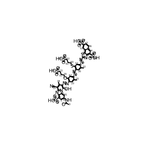 CC(=O)Nc1cc(S(=O)(=O)O)c2nc3c(C#N)c(C)c(N=Nc4cc(C)c(N=Nc5cc(C)c(N=Nc6nc7c(S(=O)(=O)O)cc8ccc(S(=O)(=O)O)cc8c7s6)cc5SCCCS(=O)(=O)O)cc4OCCCS(=O)(=O)O)c(O)n3c2c1